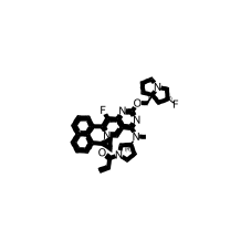 C=CC(=O)N1CC[C@@H](N(C)c2nc(OC[C@@]34CCCN3C[C@H](F)C4)nc3c(F)c(-c4cccc5cccc(C6CC6)c45)ncc23)C1